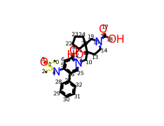 CS(C)(=O)=Nc1cc(=O)n(CC2(O)CCN(C(=O)O)CC23CCCC3)cc1-c1ccccc1